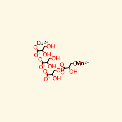 O=C([O-])C(O)CO.O=C([O-])C(O)CO.O=C([O-])C(O)CO.O=C([O-])C(O)CO.[Cu+2].[Mn+2]